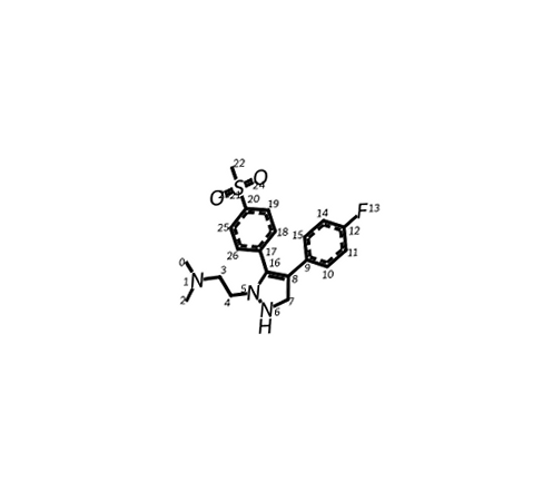 CN(C)CCN1NCC(c2ccc(F)cc2)=C1c1ccc(S(C)(=O)=O)cc1